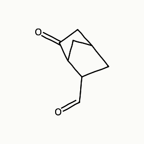 O=CC1CC2CC(=O)C1C2